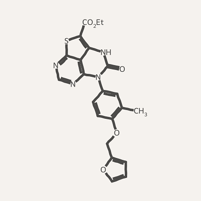 CCOC(=O)c1sc2ncnc3c2c1NC(=O)N3c1ccc(OCc2ccco2)c(C)c1